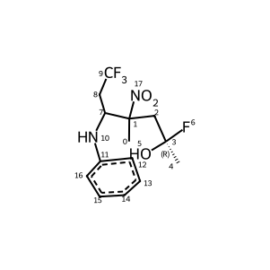 CC(C[C@](C)(O)F)(C(CC(F)(F)F)Nc1ccccc1)[N+](=O)[O-]